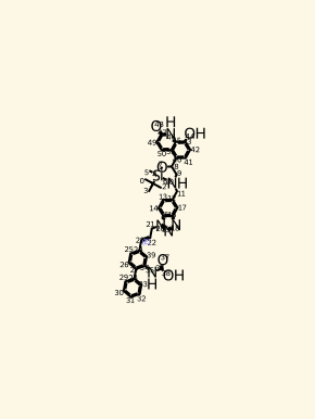 CC(C)(C)[Si](C)(C)OC(CNCc1ccc2c(c1)nnn2C/C=C/c1ccc(-c2ccccc2)c(NC(=O)O)c1)c1ccc(O)c2[nH]c(=O)ccc12